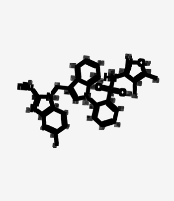 CCCCc1nc2cc(C)ccc2n1Cc1cn(-c2ccccc2S(=O)(=O)Nc2noc(C)c2C)c2ccccc12